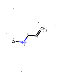 C=CC[NH][Zr]